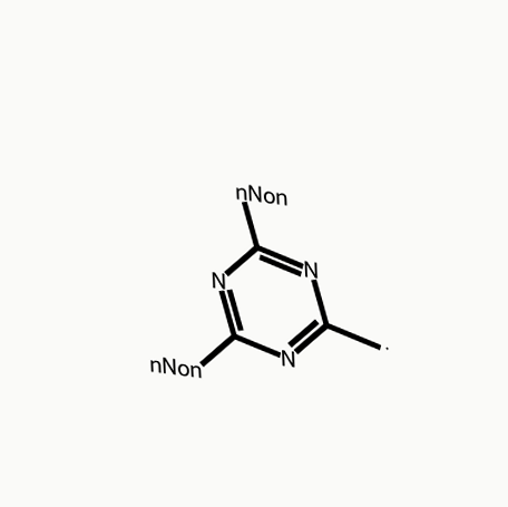 [CH2]c1nc(CCCCCCCCC)nc(CCCCCCCCC)n1